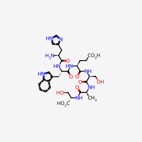 C[C@H](NC(=O)[C@H](CO)NC(=O)[C@H](CCC(=O)O)NC(=O)[C@H](Cc1c[nH]c2ccccc12)NC(=O)[C@@H](N)Cc1c[nH]cn1)C(=O)N[C@@H](CO)C(=O)O